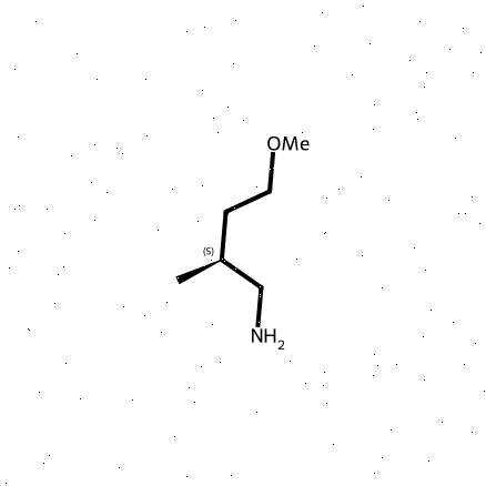 COCC[C@H](C)CN